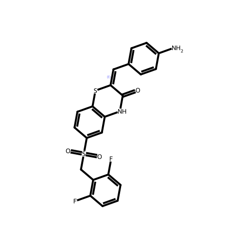 Nc1ccc(/C=C2/Sc3ccc(S(=O)(=O)Cc4c(F)cccc4F)cc3NC2=O)cc1